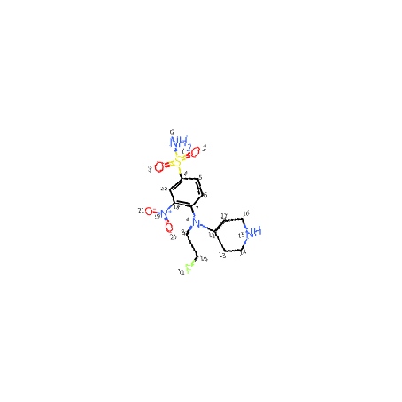 NS(=O)(=O)c1ccc(N(CCF)C2CCNCC2)c([N+](=O)[O-])c1